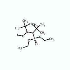 CCOP(=O)(OCC)C(N(OI)C(C)(C)C)C(C)(C)C